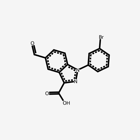 O=Cc1ccc2c(c1)c(C(=O)O)nn2-c1cccc(Br)c1